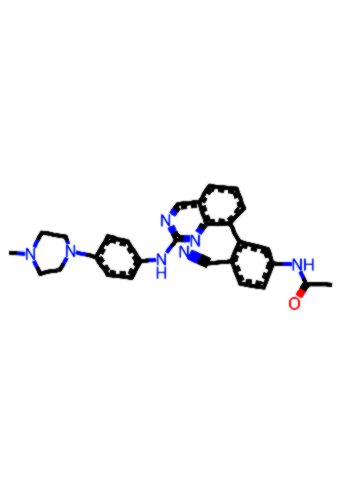 CC(=O)Nc1ccc(C#N)c(-c2cccc3cnc(Nc4ccc(N5CCN(C)CC5)cc4)nc23)c1